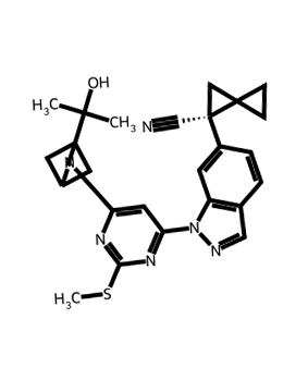 CSc1nc(N2CC3(C(C)(C)O)CC2C3)cc(-n2ncc3ccc([C@@]4(C#N)CC45CC5)cc32)n1